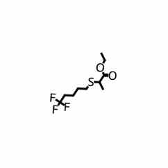 CCOC(=O)C(C)SCCCCC(F)(F)F